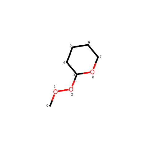 COOC1CCCCO1